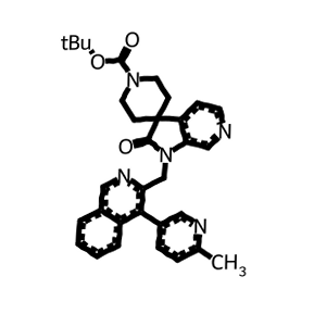 Cc1ccc(-c2c(CN3C(=O)C4(CCN(C(=O)OC(C)(C)C)CC4)c4ccncc43)ncc3ccccc23)cn1